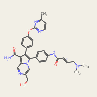 Cc1ccnc(Oc2ccc(-c3c(C(N)=O)c4cnc(CO)cn4c3-c3ccc(NC(=O)/C=C/CN(C)C)cc3)cc2)n1